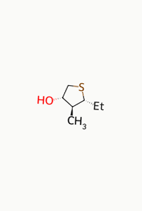 CC[C@H]1SC[C@@H](O)[C@@H]1C